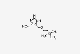 C[Si](C)(C)CCOCN1NNN=C1CO